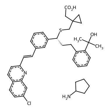 CC(C)(O)c1ccccc1CC[C@@H](SCC1(CC(=O)O)CC1)c1cccc(C=Cc2ccc3ccc(Cl)cc3n2)c1.NC1CCCC1